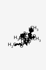 C=CCCCC(=O)NC[C@@]12C[C@@H](C(=O)Nc3nc(Br)ccc3C)N(C(=O)Cn3nc(C(C)=O)c4cc(-c5cnc(C)nc5)cc(C)c43)[C@@H]1C2